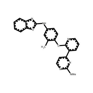 CNc1nccc(-c2cccnc2Oc2ccc(Nc3nc4ccccc4o3)cc2C)n1